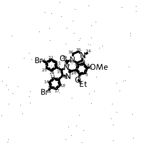 CCOc1cc(OC)ccc1C1=NC(c2ccc(Br)cc2)C(c2ccc(Br)cc2)N1C(=O)N1CCN(C)CC1